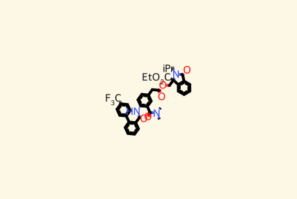 CCOC(=O)C1(COC(=O)Cc2ccc(NC(=O)c3ccccc3-c3ccc(C(F)(F)F)cc3)c(C(=O)N(C)C)c2)c2ccccc2C(=O)N1C(C)C